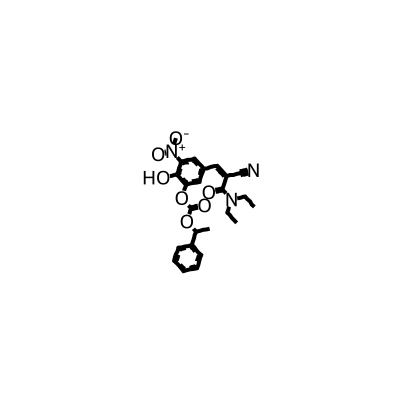 CCN(CC)C(=O)C(C#N)=Cc1cc(OC(=O)OC(C)c2ccccc2)c(O)c([N+](=O)[O-])c1